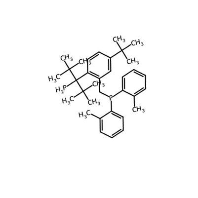 Cc1ccccc1P(Cc1cc(C(C)(C)C)ccc1C(P)(C(C)(C)C)C(C)(C)C)c1ccccc1C